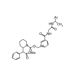 COC(=O)C(c1ccccc1)C1CCCCN1C(=O)OC[n+]1cccc(C(=O)NCC(=O)NC(C)C(C)=O)c1